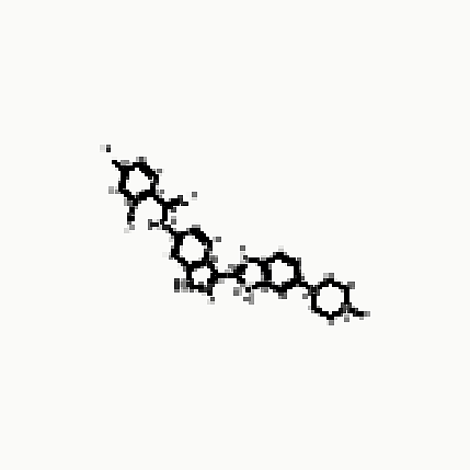 CN1CCN(c2ccc3nc(-c4n[nH]c5cc(NC(=O)c6ccc(F)cc6F)ccc45)[nH]c3c2)CC1